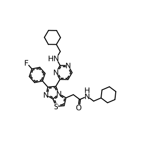 O=C(Cc1csc2nc(-c3ccc(F)cc3)c(-c3ccnc(NCC4CCCCC4)n3)n12)NCC1CCCCC1